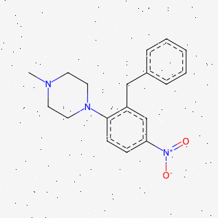 CN1CCN(c2ccc([N+](=O)[O-])cc2Cc2ccccc2)CC1